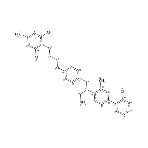 Cc1cc(Cl)c(OCCOc2ccc(CC(CN)c3ccc(-c4ccccc4Cl)cc3C)cc2)c(Cl)c1